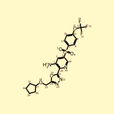 Nc1cc(S(=O)(=O)c2ccc(OC(F)(F)F)cc2)cnc1-c1nnc(COC2CCCC2)o1